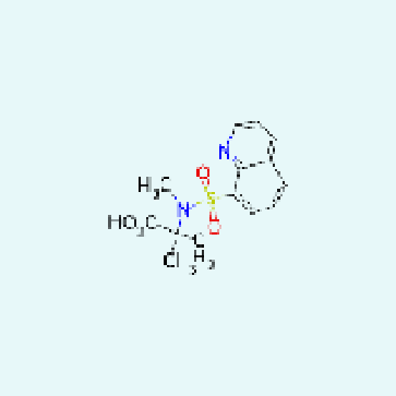 CN(C(C)(C)C(=O)O)S(=O)(=O)c1cccc2cccnc12